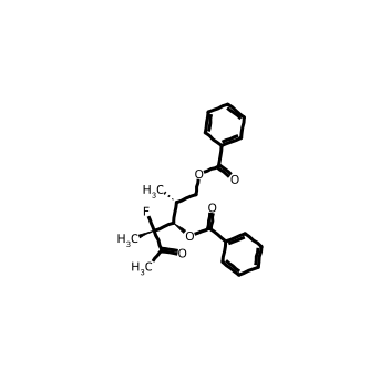 CC(=O)[C@](C)(F)[C@H](OC(=O)c1ccccc1)[C@H](C)COC(=O)c1ccccc1